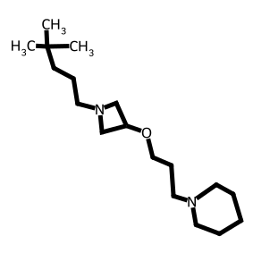 CC(C)(C)CCCN1CC(OCCCN2CCCCC2)C1